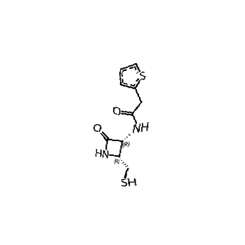 O=C(Cc1cccs1)N[C@H]1C(=O)N[C@H]1CS